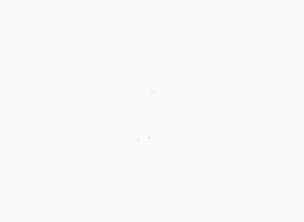 C/C(=C\c1ccc(F)c(Cl)c1)C(=O)O